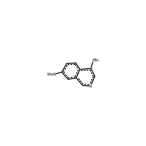 CNc1ccc2c(C(C)(C)C)cncc2c1